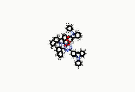 c1ccc(-n2c3ccccc3c3cc(-c4nc(-c5ccc6c(c5)c5ccccc5n6-c5ccccc5)nc(-c5c(N6c7c(ccc8ccccc78)-c7cccc8cccc6c78)ccc6ccccc56)n4)ccc32)cc1